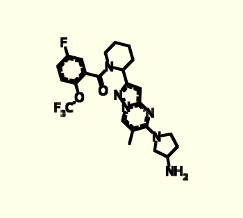 Cc1cn2nc(C3CCCCN3C(=O)c3cc(F)ccc3OC(F)(F)F)cc2nc1N1CCC(N)C1